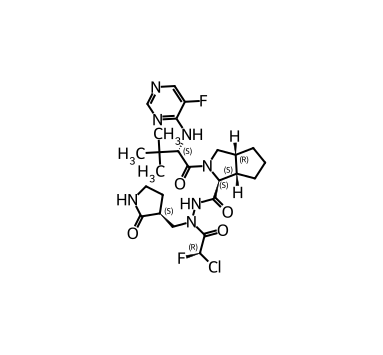 CC(C)(C)[C@H](Nc1ncncc1F)C(=O)N1C[C@@H]2CCC[C@@H]2[C@H]1C(=O)NN(C[C@@H]1CCNC1=O)C(=O)[C@H](F)Cl